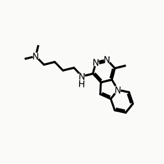 Cc1nnc(NCCCCN(C)C)c2cc3ccccn3c12